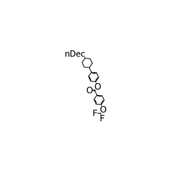 CCCCCCCCCCC1CCC(c2ccc(OC(=O)c3ccc(OC(F)F)cc3)cc2)CC1